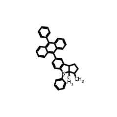 CC1CCC2c3cc(-c4c5ccccc5c(-c5ccccc5)c5ccccc45)ccc3N(c3ccccc3)C12C